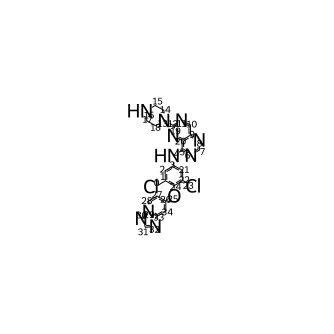 Clc1cc(Nc2ncnc3cnc(N4CCNCC4)nc23)cc(Cl)c1Oc1ccn2ncnc2c1